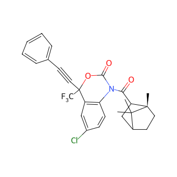 CC1(C)C2CC[C@@]1(C)C(C(=O)N1C(=O)OC(C#Cc3ccccc3)(C(F)(F)F)c3cc(Cl)ccc31)C2